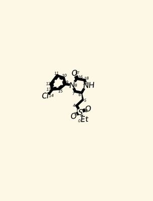 CCS(=O)(=O)CC[C@H]1CN(c2cccc(Cl)c2)C(=O)CN1